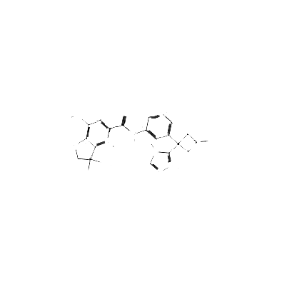 CC1CC(c2cncc(NC(=O)c3cc(C=O)c4c(n3)C(C)(C)CN4)c2)(c2nncn2C)C1